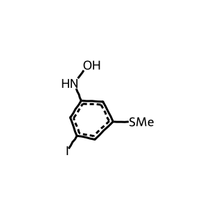 CSc1cc(I)cc(NO)c1